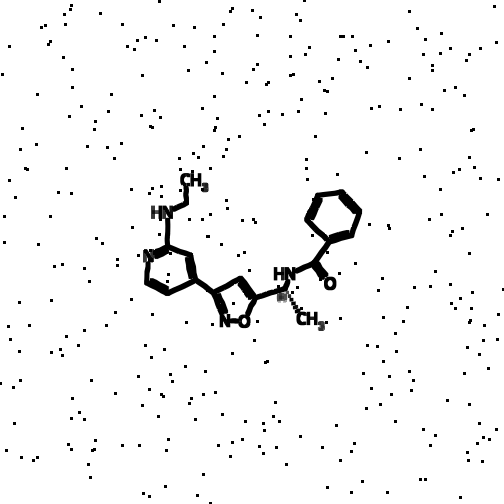 CCNc1cc(-c2cc([C@@H](C)NC(=O)c3ccccc3)on2)ccn1